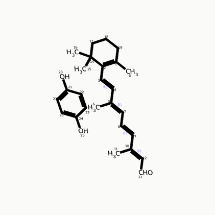 CC1=C(/C=C/C(C)=C/C=C/C(C)=C/C=O)C(C)(C)CCC1.Oc1ccc(O)cc1